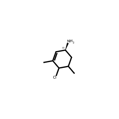 CC1=C[C@@H](N)CC(C)C1Cl